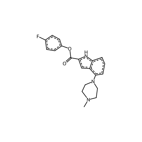 CN1CCN(c2cccc3[nH]c(C(=O)Oc4ccc(F)cc4)cc23)CC1